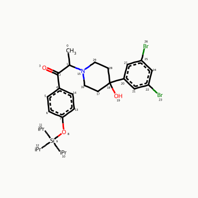 CC(C(=O)c1ccc(O[Si](C(C)C)(C(C)C)C(C)C)cc1)N1CCC(O)(c2cc(Br)cc(Br)c2)CC1